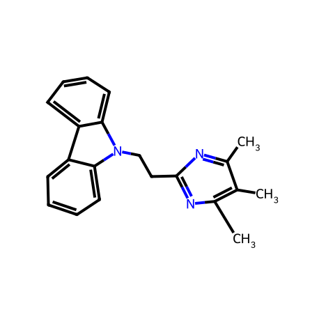 Cc1nc(CCn2c3ccccc3c3ccccc32)nc(C)c1C